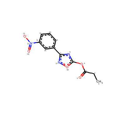 CCC(=O)Oc1nc(-c2cccc([N+](=O)[O-])c2)no1